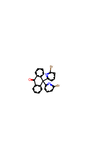 O=C1c2ccccc2C(c2cccc(Br)n2)(c2cccc(Br)n2)c2ccccc21